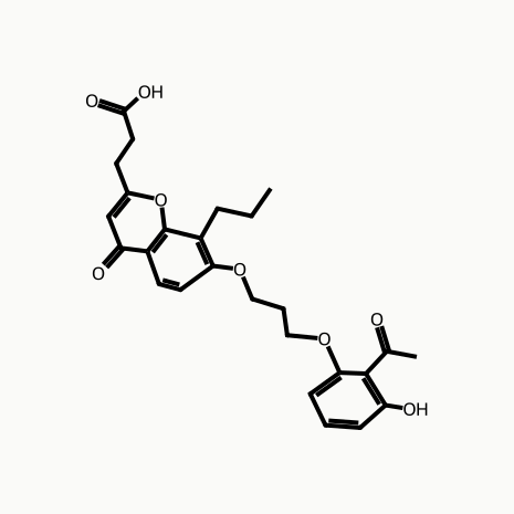 CCCc1c(OCCCOc2cccc(O)c2C(C)=O)ccc2c(=O)cc(CCC(=O)O)oc12